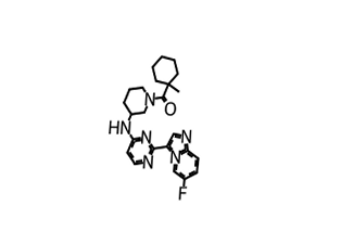 CC1(C(=O)N2CCCC(Nc3ccnc(-c4cnc5ccc(F)cn45)n3)C2)CCCCC1